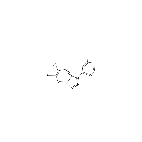 Cc1cccc(-n2ncc3cc(F)c(Br)cc32)c1